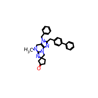 CN1Cc2c(nc(Cc3ccc(-c4ccccc4)cc3)n2Cc2ccccc2)N2CC3(CCC(=O)C3)N=C12